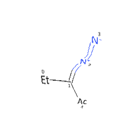 CCC(=[N+]=[N-])C(C)=O